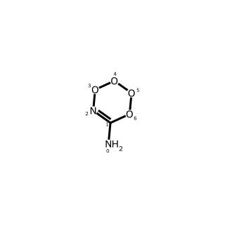 Nc1noooo1